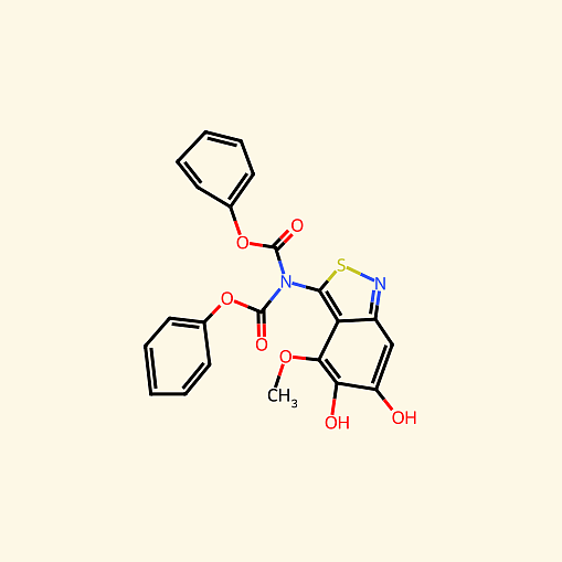 COc1c(O)c(O)cc2nsc(N(C(=O)Oc3ccccc3)C(=O)Oc3ccccc3)c12